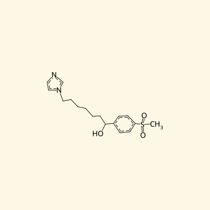 CS(=O)(=O)c1ccc(C(O)CCCCCCn2ccnc2)cc1